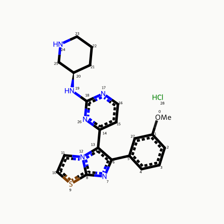 COc1cccc(-c2nc3sccn3c2-c2ccnc(N[C@@H]3CCCNC3)n2)c1.Cl